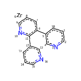 [Zr].c1cncc(-c2cccnc2-c2cccnc2)c1